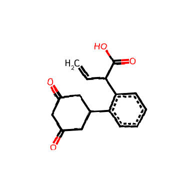 C=CC(C(=O)O)c1ccccc1C1CC(=O)CC(=O)C1